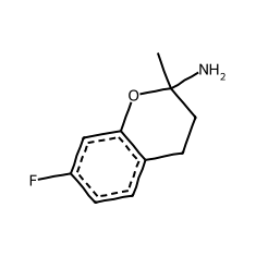 CC1(N)CCc2ccc(F)cc2O1